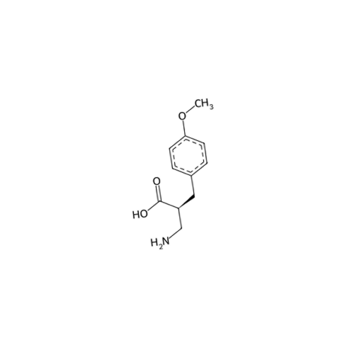 COc1ccc(C[C@@H](CN)C(=O)O)cc1